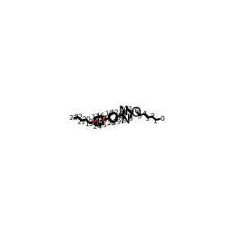 CCCC=CCOc1cnc(-c2ccc(C34CCC(CCCCC)(CC3)CC4)cc2)nc1